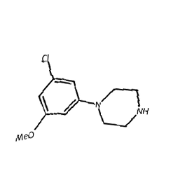 COc1cc(Cl)cc(N2CCNCC2)c1